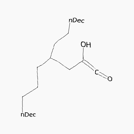 CCCCCCCCCCCCCC(CCCCCCCCCCCC)CC(O)=C=O